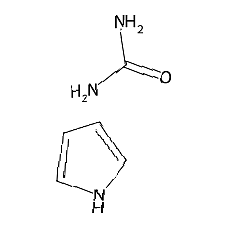 NC(N)=O.c1cc[nH]c1